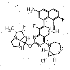 [2H]C([2H])(Oc1nc(N2CCOC[C@H]3[C@H](Cl)[C@H]32)c2cnc(-c3cc(N)cc4ccc(F)c(C#C)c34)c(F)c2n1)[C@@]12CCCN1[C@H](C)[C@H](F)C2